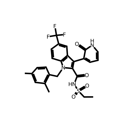 CCS(=O)(=O)NC(=O)c1c(-c2ccc[nH]c2=O)c2cc(C(F)(F)F)ccc2n1Cc1ccc(C)cc1C